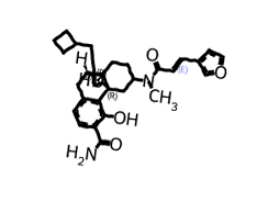 CN(C(=O)/C=C/c1ccoc1)C1CC[C@@]2(O)[C@H]3Cc4ccc(C(N)=O)c(O)c4[C@@]2(CCC3CC2CCC2)C1